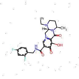 CC(C)CN1CC[C@@H](C)N2C(=O)c3c(O)c(=O)c(C(=O)NCc4ccc(F)cc4F)cn3C[C@H]12